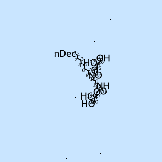 CCCCCCCCCCCCCCCCCCN(CCCNC(=O)OCC(O)CO)C(=O)OCC(O)CO